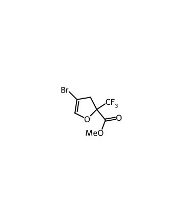 COC(=O)C1(C(F)(F)F)CC(Br)=CO1